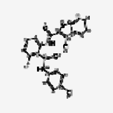 O=C(Nc1cccc(F)c1C(=O)Nc1ccc(Cl)cc1)c1sc2ccccc2c1Cl